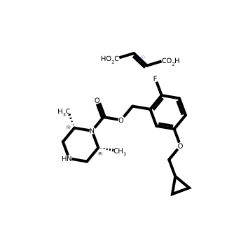 C[C@@H]1CNC[C@H](C)N1C(=O)OCc1cc(OCC2CC2)ccc1F.O=C(O)/C=C/C(=O)O